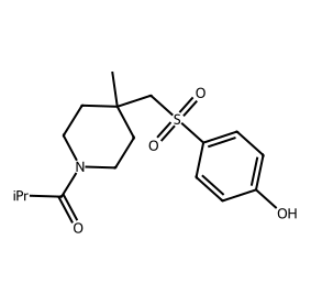 CC(C)C(=O)N1CCC(C)(CS(=O)(=O)c2ccc(O)cc2)CC1